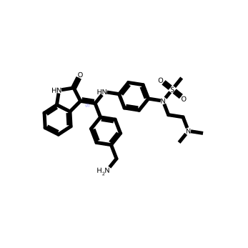 CN(C)CCN(c1ccc(N/C(=C2\C(=O)Nc3ccccc32)c2ccc(CN)cc2)cc1)S(C)(=O)=O